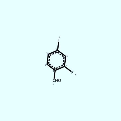 O=Cc1ccc(I)cc1F